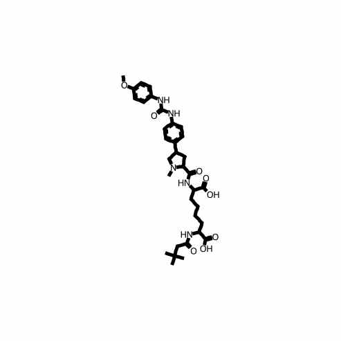 COc1ccc(NC(=O)Nc2ccc(C3CC(C(=O)NC(CCCCC(NC(=O)CC(C)(C)C)C(=O)O)C(=O)O)N(C)C3)cc2)cc1